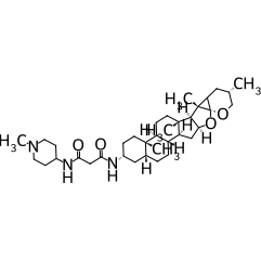 C[C@@H]1CO[C@]23O[C@H]4C[C@H]5[C@@H]6CC[C@@H]7C[C@H](NC(=O)CC(=O)NC8CCN(C)CC8)CC[C@]7(C)[C@H]6CC[C@]5(C)[C@H]4[C@]2(C)C3C1